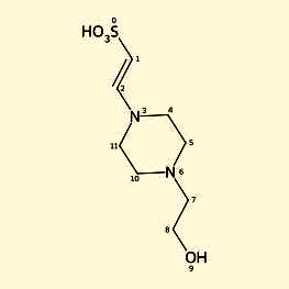 O=S(=O)(O)C=CN1CCN(CCO)CC1